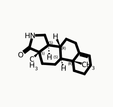 C[C@]12CCCC=C1CC[C@@H]1[C@@H]2CC[C@]2(C)C(=O)NC[C@@H]12